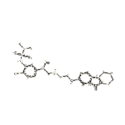 CN(C)S(=O)(=O)Nc1cc(C(O)CNCCOc2ccc3c4c([nH]c3c2)CCCC4)ccc1Cl